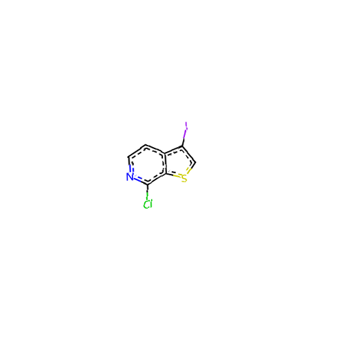 Clc1nccc2c(I)csc12